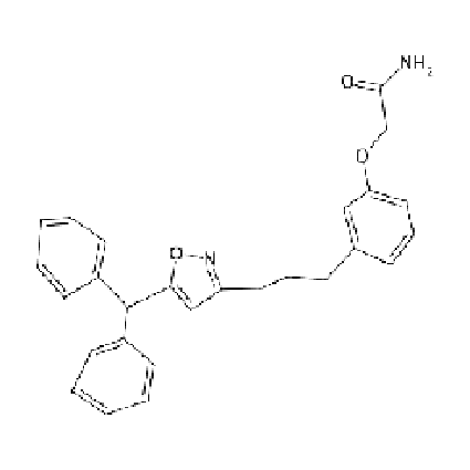 NC(=O)COc1cccc(CCCc2cc(C(c3ccccc3)c3ccccc3)on2)c1